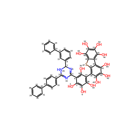 Oc1c(O)c(C2=NC(c3cccc(-c4ccccc4)c3)NC(c3ccc(-c4ccccc4)cc3)=N2)c(O)c(-c2c(O)c(O)c(O)c3c2sc2c(O)c(O)c(O)c(O)c23)c1O